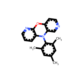 Cc1cc(C)c(N2c3cnccc3Oc3ncccc32)c(C)c1